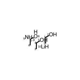 CCO.CCO.CCO.N.[LiH]